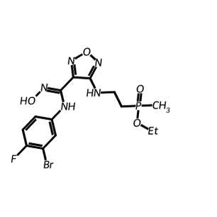 CCOP(C)(=O)CCNc1nonc1/C(=N/O)Nc1ccc(F)c(Br)c1